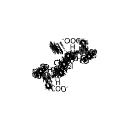 O=C([O-])c1ccc[n+](-c2nc(NCCNc3ccc4c(c3S(=O)(=O)[O-])Oc3c(Cl)c5c(c(Cl)c3=N4)Oc3c(ccc(NCCNc4nc(Nc6cc(S(=O)(=O)[O-])ccc6S(=O)(=O)[O-])nc(-[n+]6cccc(C(=O)[O-])c6)n4)c3S(=O)(=O)[O-])N=5)nc(Nc3cc(S(=O)(=O)[O-])ccc3S(=O)(=O)[O-])n2)c1.[Na+].[Na+].[Na+].[Na+].[Na+].[Na+]